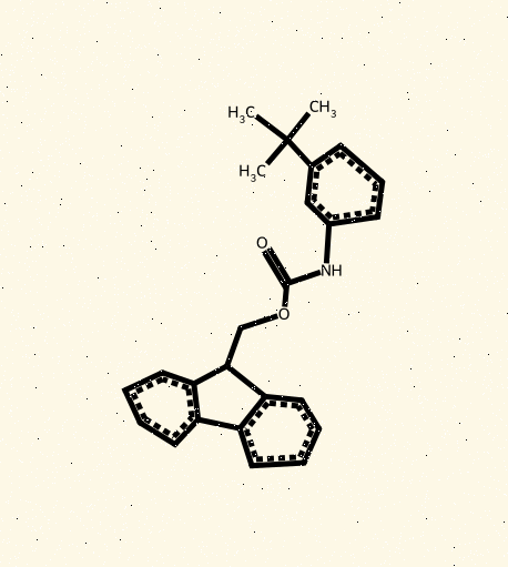 CC(C)(C)c1cccc(NC(=O)OCC2c3ccccc3-c3ccccc32)c1